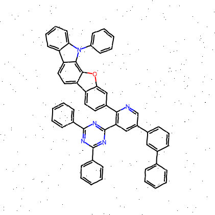 c1ccc(-c2cccc(-c3cnc(-c4ccc5c(c4)oc4c5ccc5c6ccccc6n(-c6ccccc6)c54)c(-c4nc(-c5ccccc5)nc(-c5ccccc5)n4)c3)c2)cc1